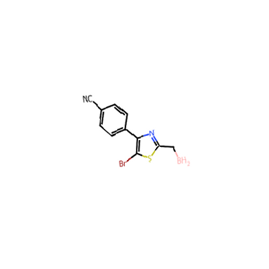 BCc1nc(-c2ccc(C#N)cc2)c(Br)s1